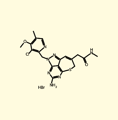 Br.CNC(=O)CC1=Cc2nn(Cc3ncc(C)c(OC)c3Cl)c3nc(N)nc(c23)SC1